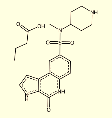 CCCC(=O)O.CN(C1CCNCC1)S(=O)(=O)c1ccc2[nH]c(=O)c3[nH]ccc3c2c1